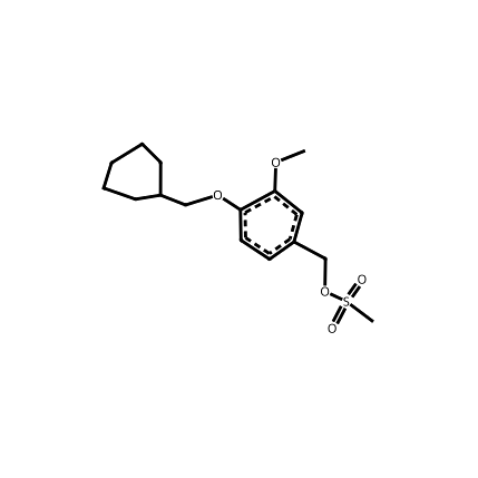 COc1cc(COS(C)(=O)=O)ccc1OCC1CCCCC1